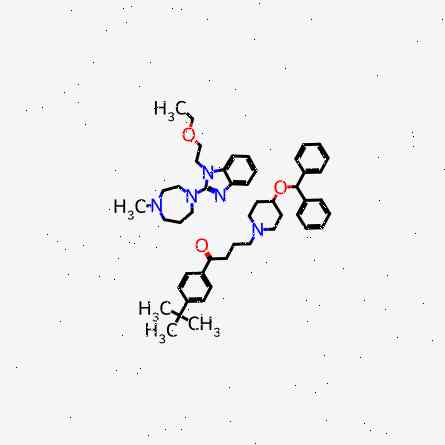 CC(C)(C)c1ccc(C(=O)CCCN2CCC(OC(c3ccccc3)c3ccccc3)CC2)cc1.CCOCCn1c(N2CCCN(C)CC2)nc2ccccc21